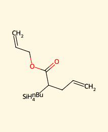 C=CCOC(=O)C(CC=C)CCCC.[SiH4]